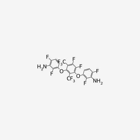 Nc1c(F)ccc(Oc2c(F)c(F)c(C(F)(F)F)c(Oc3ccc(F)c(N)c3F)c2C(F)(F)F)c1F